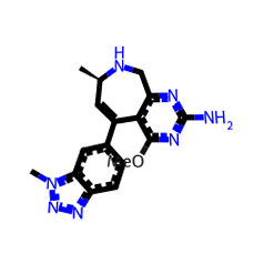 COc1nc(N)nc2c1C(c1ccc3nnn(C)c3c1)=C[C@@H](C)NC2